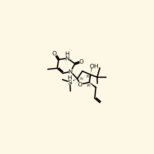 C=CC[C@H]1O[C@](n2cc(C)c(=O)[nH]c2=O)([SiH](C)C)C[C@@]1(O)C(C)(C)C